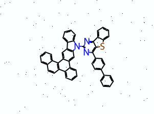 c1ccc(-c2ccc(-c3nc(-n4c5ccccc5c5cc6c(cc54)c4ccccc4c4ccc5ccccc5c46)nc4c3sc3ccccc34)cc2)cc1